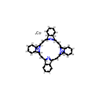 [Co].c1ccc2c(c1)-c1cc3[nH]c(cc4nc(cc5[nH]c(cc-2n1)c1ccccc51)-c1ccccc1-4)c1ccccc31